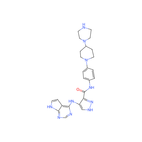 O=C(Nc1ccc(N2CCC(N3CCNCC3)CC2)cc1)c1n[nH]cc1Nc1ncnc2[nH]ccc12